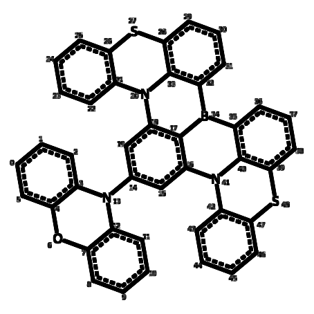 c1ccc2c(c1)Oc1ccccc1N2c1cc2c3c(c1)N1c4ccccc4Sc4cccc(c41)B3c1cccc3c1N2c1ccccc1S3